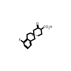 O=C(O)C1CC[C@]2(CCc3c(F)cccc3C2)CC1=O